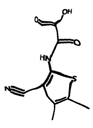 Cc1sc(NC(=O)C(=O)O)c(C#N)c1C